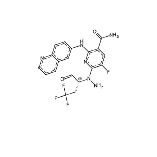 NC(=O)c1cc(F)c(N(N)[C@@H](C=O)CC(F)(F)F)nc1Nc1ccc2ncccc2c1